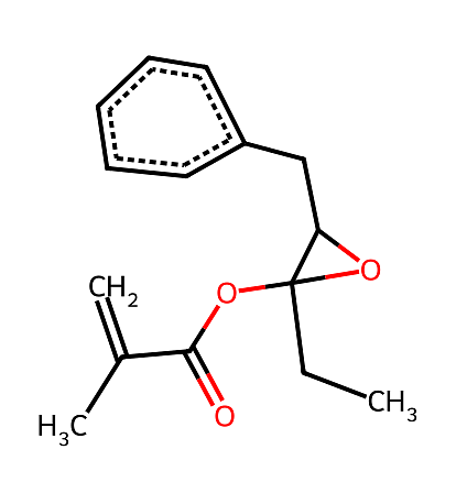 C=C(C)C(=O)OC1(CC)OC1Cc1ccccc1